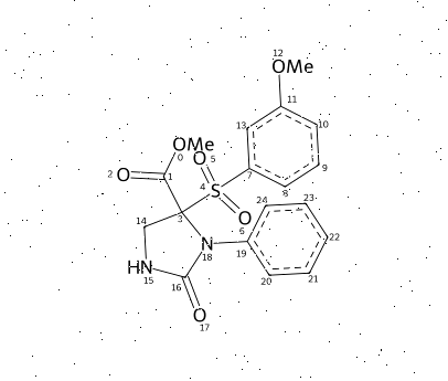 COC(=O)C1(S(=O)(=O)c2cccc(OC)c2)CNC(=O)N1c1ccccc1